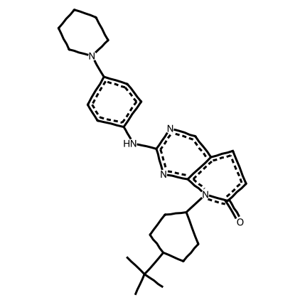 CC(C)(C)C1CCC(n2c(=O)ccc3cnc(Nc4ccc(N5CCCCC5)cc4)nc32)CC1